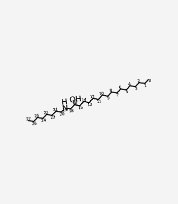 CCCCCCCCCCCCCCCCC(O)CNCCCCCCCC